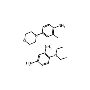 CCN(CC)c1ccc(N)cc1N.Cc1cc(N2CCOCC2)ccc1N